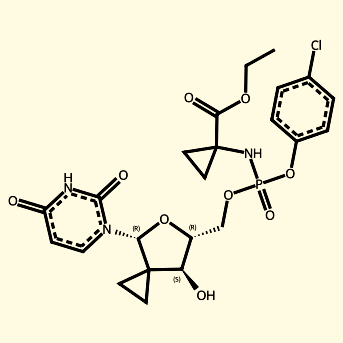 CCOC(=O)C1(NP(=O)(OC[C@H]2O[C@@H](n3ccc(=O)[nH]c3=O)C3(CC3)[C@@H]2O)Oc2ccc(Cl)cc2)CC1